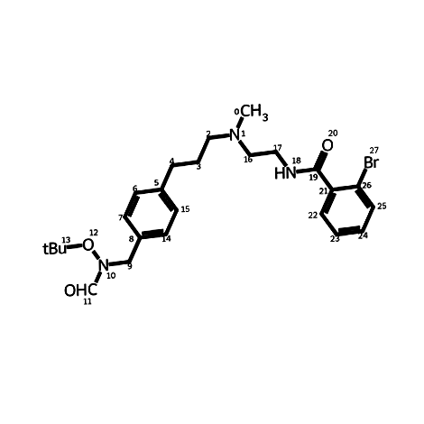 CN(CCCc1ccc(CN(C=O)OC(C)(C)C)cc1)CCNC(=O)c1ccccc1Br